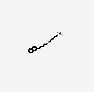 CCCCCCOCCC/C=C/c1ccc2ccccc2c1